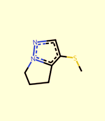 CSc1cnn2c1CCC2